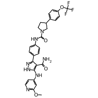 COc1cc(Nc2[nH]nc(-c3ccc(NC(=O)N4CCC(c5ccc(OC(F)(F)F)cc5)C4)cc3)c2C(N)=O)ccn1